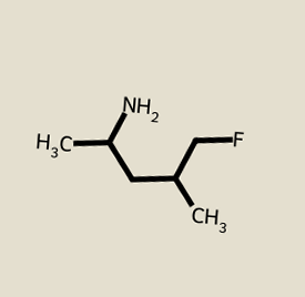 CC(N)CC(C)CF